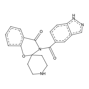 O=C(c1ccc2[nH]ncc2c1)N1C(=O)c2ccccc2OC12CCNCC2